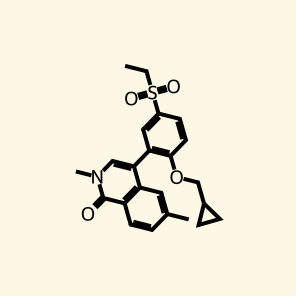 CCS(=O)(=O)c1ccc(OCC2CC2)c(-c2cn(C)c(=O)c3ccc(C)cc23)c1